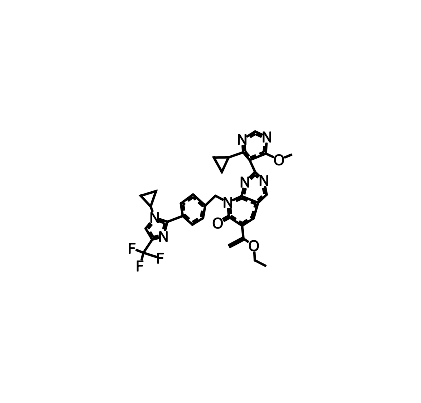 C=C(OCC)c1cc2cnc(-c3c(OC)ncnc3C3CC3)nc2n(Cc2ccc(-c3nc(C(F)(F)F)cn3C3CC3)cc2)c1=O